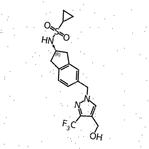 O=S(=O)(N[C@@H]1Cc2ccc(Cn3cc(CO)c(C(F)(F)F)n3)cc2C1)C1CC1